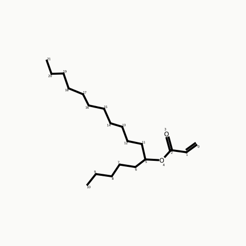 C=CC(=O)OC(CCCCC)CCCCCCCCCCC